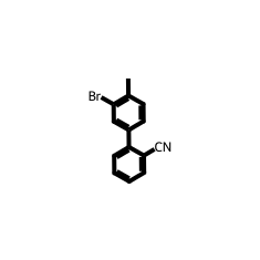 Cc1ccc(-c2ccccc2C#N)cc1Br